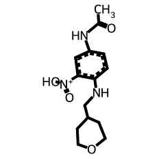 CC(=O)Nc1ccc(NCC2CCOCC2)c([N+](=O)O)c1